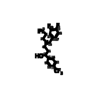 CC(C)CCN(CCC(O)c1ccc(C(F)(F)F)cc1)Cc1ccc(F)c(F)c1